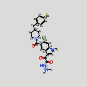 CN(C)NC(=O)C(=O)c1cn(C)c2cc(Cl)c(C(=O)N3CCC(Cc4ccc(F)cc4)CC3)cc12